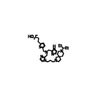 CCC(CC)N1CCC2(CCN(CCCn3ccnc3CN(Cc3ncc[nH]3)Cc3ccc(CCC(=O)O)s3)C2)CC1